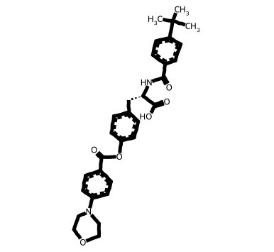 CC(C)(C)c1ccc(C(=O)N[C@@H](Cc2ccc(OC(=O)c3ccc(N4CCOCC4)cc3)cc2)C(=O)O)cc1